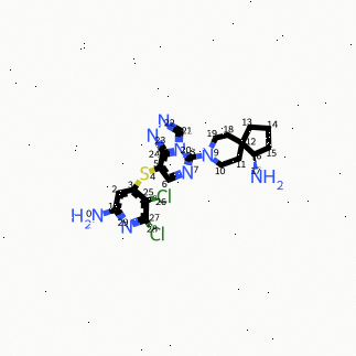 Nc1cc(Sc2cnc(N3CCC4(CCC[C@H]4N)CC3)n3cnnc23)c(Cl)c(Cl)n1